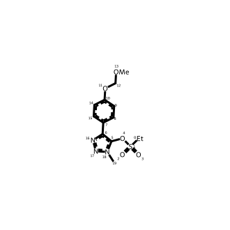 CCS(=O)(=O)Oc1c(-c2ccc(OCOC)cc2)nnn1C